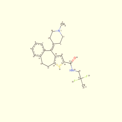 CN1CCC(=C2c3ccccc3CCc3sc(C(=O)NCC(F)(F)C(F)(F)F)cc32)CC1